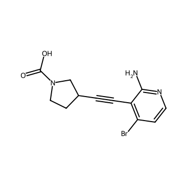 Nc1nccc(Br)c1C#CC1CCN(C(=O)O)C1